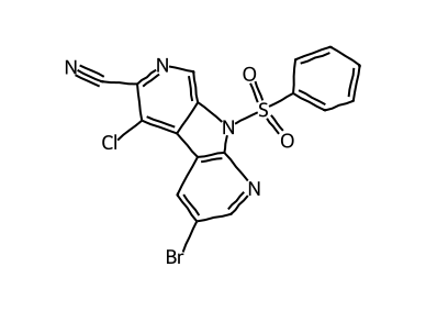 N#Cc1ncc2c(c1Cl)c1cc(Br)cnc1n2S(=O)(=O)c1ccccc1